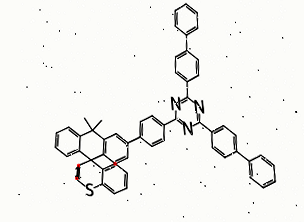 CC1(C)c2ccccc2C2(c3ccccc3Sc3ccccc32)c2ccc(-c3ccc(-c4nc(-c5ccc(-c6ccccc6)cc5)nc(-c5ccc(-c6ccccc6)cc5)n4)cc3)cc21